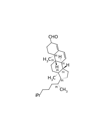 CC(C)CCC[C@@H](C)[C@H]1CC[C@H]2[C@@H]3C=CC4=CC(C=O)CC[C@]4(C)[C@H]3CC[C@]12C